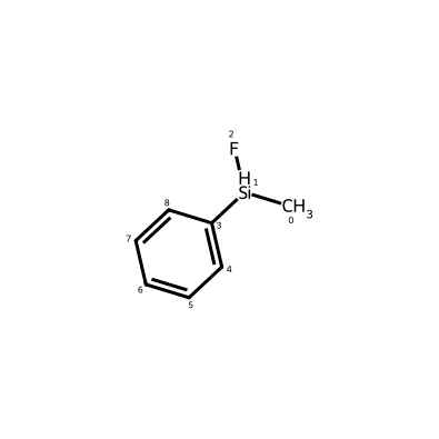 C[SiH](F)c1ccccc1